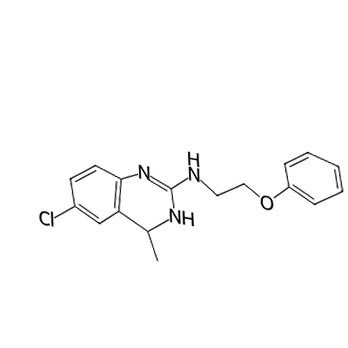 CC1NC(NCCOc2ccccc2)=Nc2ccc(Cl)cc21